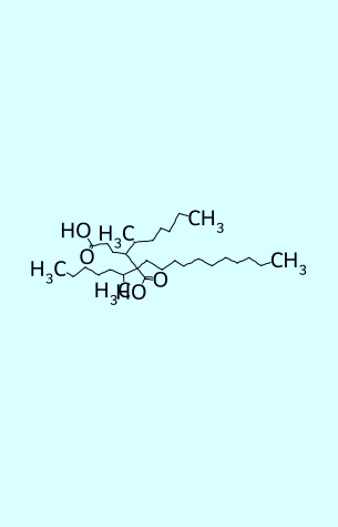 CCCCCCCCCCCC(C(=O)O)(C(C)CCCCC)C(CCC(=O)O)C(C)CCCCC